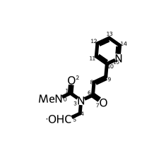 CNC(=O)N(C[C]=O)C(=O)C=Cc1ccccn1